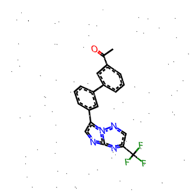 CC(=O)c1cccc(-c2cccc(-c3cnc4nc(C(F)(F)F)cnn34)c2)c1